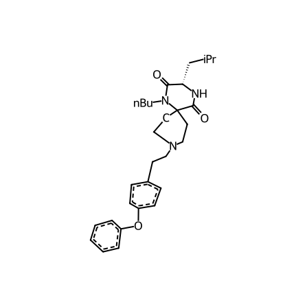 CCCCN1C(=O)[C@H](CC(C)C)NC(=O)C12CCN(CCc1ccc(Oc3ccccc3)cc1)CC2